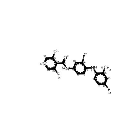 O=C(Nc1ccc(Nc2ccc(F)cc2C(F)(F)F)c(F)c1)c1c(F)cncc1F